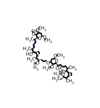 CC[C@H](OC)[C@@H](C)[C@H]1CC[C@@H]1[C@H](O)[C@@H](C)/C=C/C=C(\C)[C@@H]1O[C@@H](OC)C[C@H](OCCC[C@H](OC)[C@@H](C)[C@H]2CC[C@@H]2[C@H](O)[C@@H](C)/C=C/C=C(\C)[C@@H]2O[C@@H](OC)C[C@H](OC)[C@H]2OC)[C@@H]1OC